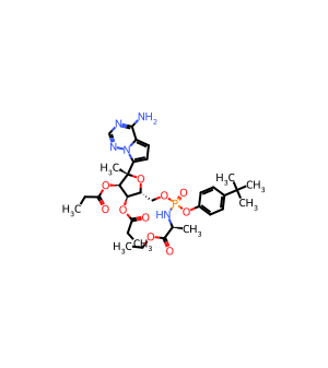 CCOC(=O)[C@H](C)NP(=O)(OC[C@H]1O[C@@](C)(c2ccc3c(N)ncnn23)[C@H](OC(=O)CC)[C@@H]1OC(=O)CC)Oc1ccc(C(C)(C)C)cc1